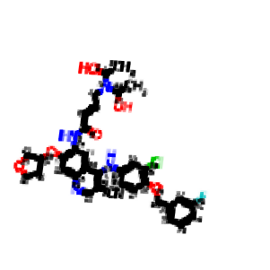 CC(O)N(C/C=C/C(=O)Nc1cc2c(Nc3ccc(OCc4cccc(F)c4)c(Cl)c3)c(C#N)cnc2cc1OC1CCOC1)C(C)O